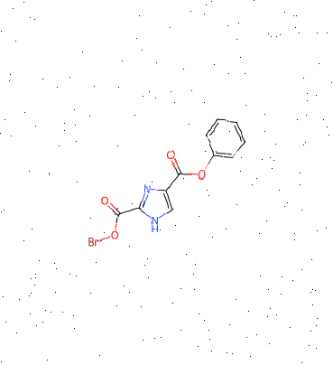 O=C(Oc1ccccc1)c1c[nH]c(C(=O)OBr)n1